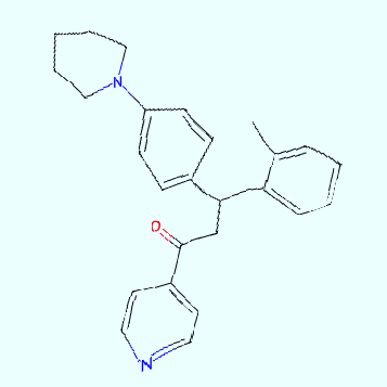 Cc1ccccc1C(CC(=O)c1ccncc1)c1ccc(N2CCCCC2)cc1